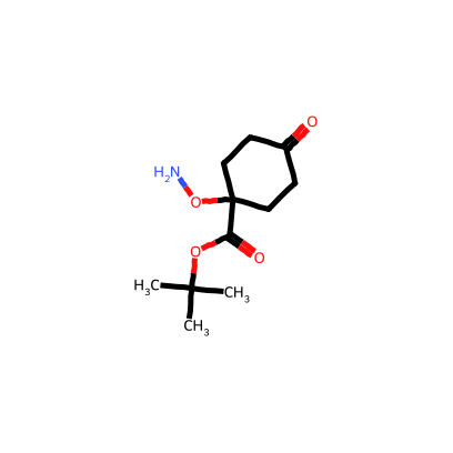 CC(C)(C)OC(=O)C1(ON)CCC(=O)CC1